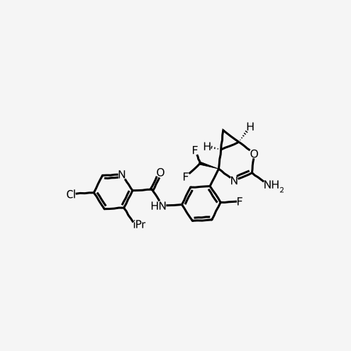 CC(C)c1cc(Cl)cnc1C(=O)Nc1ccc(F)c([C@@]2(C(F)F)N=C(N)O[C@@H]3C[C@@H]32)c1